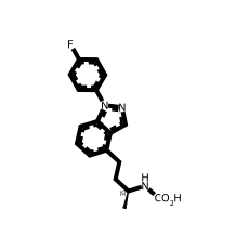 C[C@@H](CCc1cccc2c1cnn2-c1ccc(F)cc1)NC(=O)O